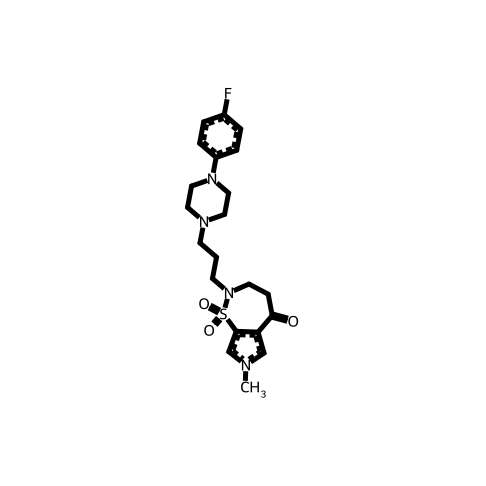 Cn1cc2c(c1)S(=O)(=O)N(CCCN1CCN(c3ccc(F)cc3)CC1)CCC2=O